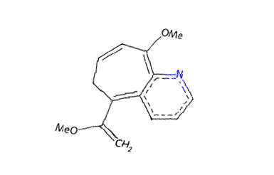 C=C(OC)C1=c2cccnc2=C(OC)C=CC1